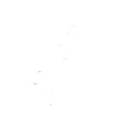 FC(F)c1nnc(-c2ccc(COc3ccnc(-c4ccccc4)c3)nc2)o1